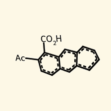 CC(=O)c1ccc2cc3ccccc3cc2c1C(=O)O